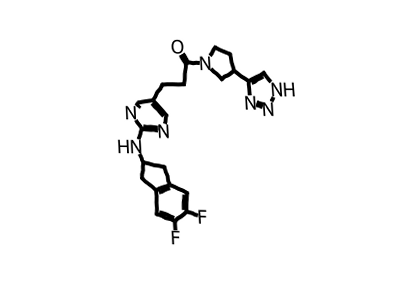 O=C(CCc1cnc(NC2Cc3cc(F)c(F)cc3C2)nc1)N1CCC(c2c[nH]nn2)C1